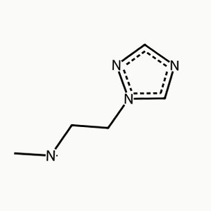 C[N]CCn1cncn1